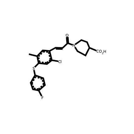 Cc1cc(/C=C/C(=O)N2CCC(C(=O)O)CC2)c(Cl)cc1Sc1ccc(F)cc1